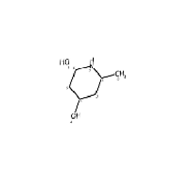 CC1CC(O)CCN1.Cl